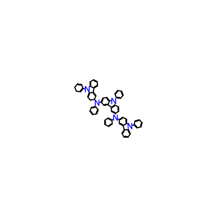 C1=CC(n2c3c(c4ccccc42)=CC(N(c2ccccc2)c2ccc4c(c2)c2cc(N(c5ccccc5)c5ccc6c(c5)c5ccccc5n6-c5ccccc5)ccc2n4-c2ccccc2)CC=3)=CCC1